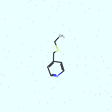 C[CH]SCc1ccncc1